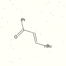 CCCC/C=C/C(=O)C(C)C